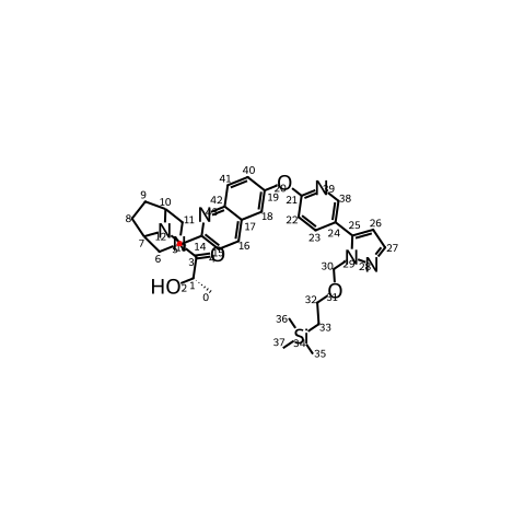 C[C@H](O)C(=O)N1CC2CCC(C1)N2Cc1ccc2cc(Oc3ccc(-c4ccnn4COCC[Si](C)(C)C)cn3)ccc2n1